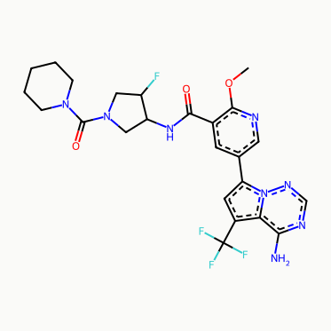 COc1ncc(-c2cc(C(F)(F)F)c3c(N)ncnn23)cc1C(=O)NC1CN(C(=O)N2CCCCC2)CC1F